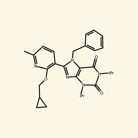 CCCn1c(=O)c2c(nc(-c3ccc(C)nc3OCC3CC3)n2Cc2ccccc2)n(C(C)C)c1=O